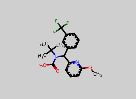 COc1cccc(C(c2cccc(C(F)(F)F)c2)N(C(=O)O)C(C)(C)C)n1